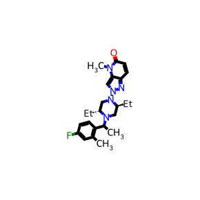 CC[C@@H]1CN(n2cc3c(ccc(=O)n3C)n2)[C@@H](CC)CN1C(C)c1ccc(F)cc1C